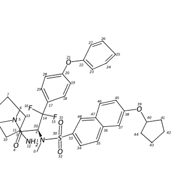 CN([C@@H](C(=O)N1C2CCC1CC(N)C2)C(F)(F)c1ccc(Oc2ccccc2)cc1)S(=O)(=O)c1ccc2cc(OC3CCCC3)ccc2c1